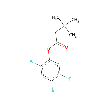 CC(C)(C)CC(=O)Oc1cc(F)c(F)cc1F